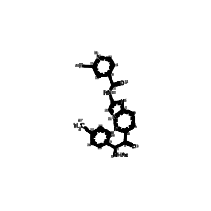 CC(=O)NC(C(=O)c1ccc2nc(NC(=O)c3ccnc(F)c3)cn2n1)c1ccc(C)cc1